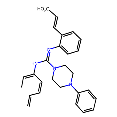 C=C/C=C\C(=C/C)NC(=Nc1ccccc1/C=C/C(=O)O)N1CCN(c2ccccc2)CC1